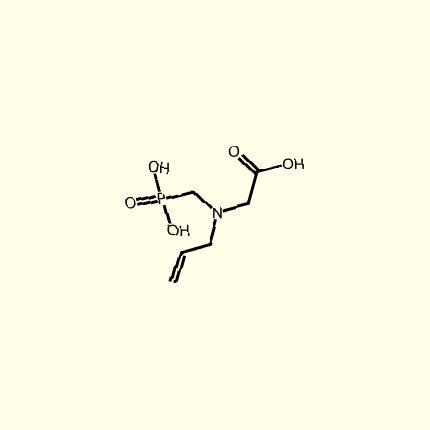 C=CCN(CC(=O)O)CP(=O)(O)O